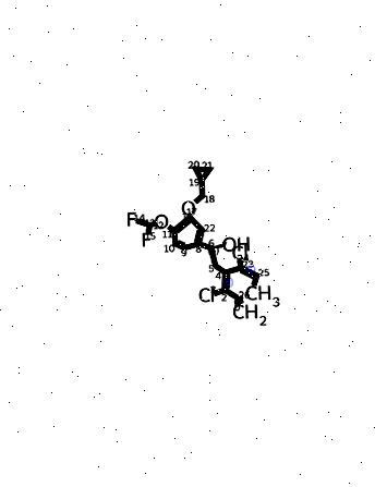 C=C/C(Cl)=C(C[C@H](O)c1ccc(OC(F)F)c(OCC2CC2)c1)\C(Cl)=C/C